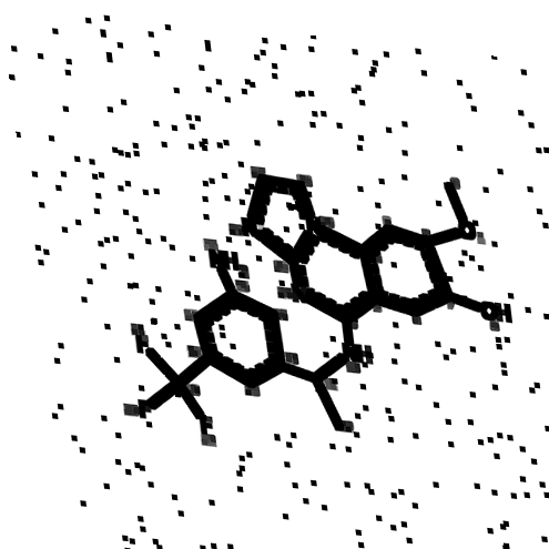 COc1cc2c(cc1O)c(NC(C)c1cc(N)cc(C(F)(F)F)c1)nc1nccn12